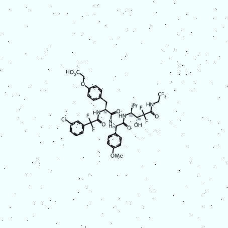 COc1ccc([C@H](NC(=O)[C@H](Cc2ccc(OCC(=O)O)cc2)NC(=O)C(F)(F)c2cccc(Cl)c2)C(=O)N[C@@H](C(C)C)[C@@H](O)C(F)(F)C(=O)NCC(F)(F)F)cc1